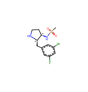 CS(=O)(=O)N[C@@H]1CCN[C@@H]1Cc1cc(F)cc(Br)c1